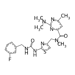 Cc1cc(C(=O)N(C)Cc2csc(NC(=O)NCc3cccc(F)c3)n2)nc(N(C)C)n1